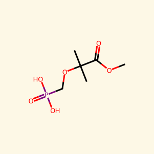 COC(=O)C(C)(C)OCP(=O)(O)O